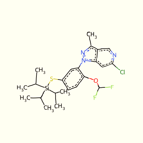 Cc1nn(-c2cc(S[Si](C(C)C)(C(C)C)C(C)C)ccc2OC(F)F)c2cc(Cl)ncc12